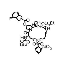 CCOC(=O)[C@@]12C[C@H]1/C=C\CCN(S(=O)(=O)c1ccccc1[N+](=O)[O-])CC[C@H](NC(=O)OC(C)(C)C)C(=O)N1C[C@H](OC(=O)N3Cc4cccc(F)c4C3)C[C@H]1C(=O)N2